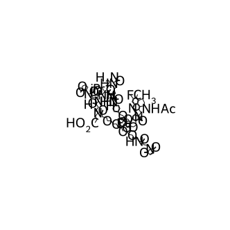 CC[C@@]1(OC(=O)OCc2ccc(NC(=O)[C@H](CCCNC(N)=O)NC(=O)[C@@H](NC(=O)[C@H](CC(=O)N[C@H]3CCOC3=O)NC(=O)CCN(CCC(=O)O)C(=O)CCOCCOCCOCCOCCNC(=O)CCN3C(=O)C=CC3=O)C(C)C)cc2)C(=O)OCc2c1cc1n(c2=O)Cc2c-1nc1cc(F)c(C)c3c1c2[C@@H](NC(C)=O)CC3